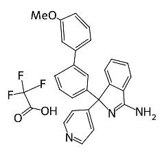 COc1cccc(-c2cccc(C3(c4ccncc4)N=C(N)c4ccccc43)c2)c1.O=C(O)C(F)(F)F